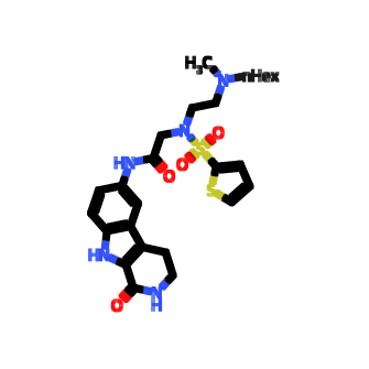 CCCCCCN(C)CCN(CC(=O)Nc1ccc2[nH]c3c(c2c1)CCNC3=O)S(=O)(=O)c1cccs1